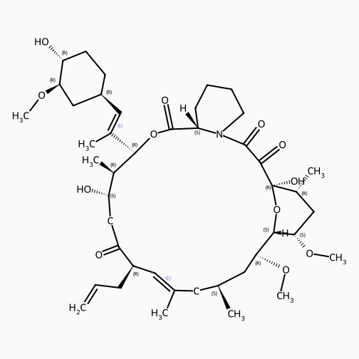 C=CC[C@@H]1/C=C(\C)C[C@H](C)C[C@@H](OC)[C@@H]2O[C@@](O)(C(=O)C(=O)N3CCCC[C@H]3C(=O)O[C@@H](/C(C)=C/[C@@H]3CC[C@@H](O)[C@H](OC)C3)[C@H](C)[C@@H](O)CC1=O)[C@H](C)C[C@@H]2OC